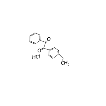 C=Cc1ccc(C(=O)C(=O)c2ccccc2)cc1.Cl